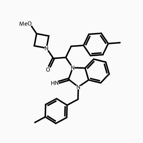 COC1CN(C(=O)C(Cc2ccc(C)cc2)n2c(=N)n(Cc3ccc(C)cc3)c3ccccc32)C1